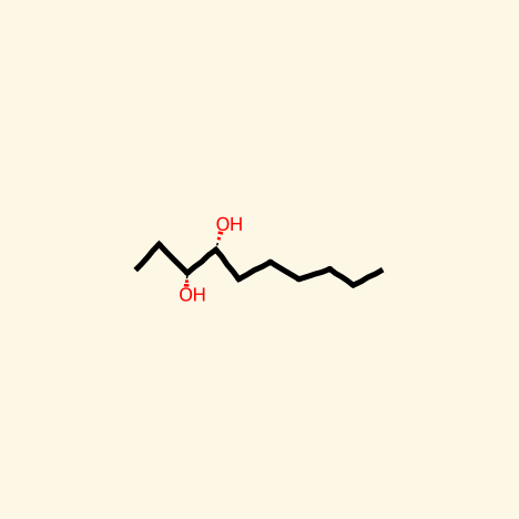 CCCCCC[C@@H](O)[C@H](O)CC